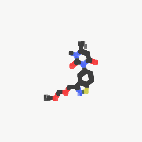 CCOCOCc1nsc2ccc(-n3c(=O)cc(C(F)(F)F)n(C)c3=O)cc12